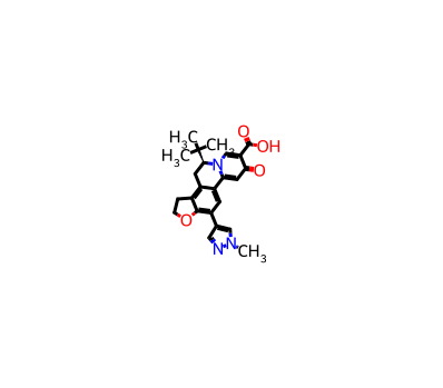 Cn1cc(-c2cc3c(c4c2OCC4)C[C@@H](C(C)(C)C)n2cc(C(=O)O)c(=O)cc2-3)cn1